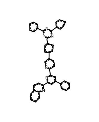 c1ccc(-c2cc(-c3ccc(-c4ccc(-c5nc(-c6ccccc6)nc(-c6ccccc6)n5)cc4)cn3)nc(-c3ccc4ccccc4n3)c2)cc1